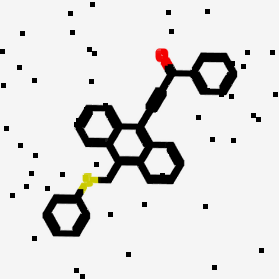 O=C(C#Cc1c2ccccc2c(CSc2ccccc2)c2ccccc12)c1ccccc1